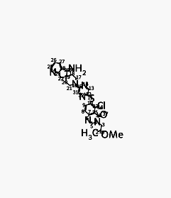 COC(C)Cn1cnc2ccc(Sc3cnc(N4CCC5(CC4)Cc4ncccc4[C@H]5N)cn3)c(Cl)c2c1=O